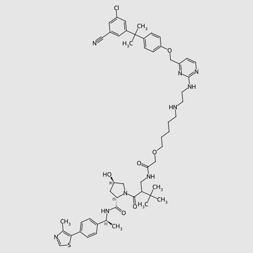 Cc1ncsc1-c1ccc([C@H](C)NC(=O)[C@@H]2C[C@@H](O)CN2C(=O)C(CNC(=O)COCCCCCNCCNc2nccc(COc3ccc(C(C)(C)c4cc(Cl)cc(C#N)c4)cc3)n2)C(C)(C)C)cc1